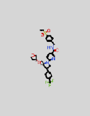 CCS(=O)(=O)c1ccc(CNC(=O)c2ccc(N3CC(c4ccc(C(F)(F)F)cc4)C[C@H]3CO[C@H]3CCOC3)nc2)cc1